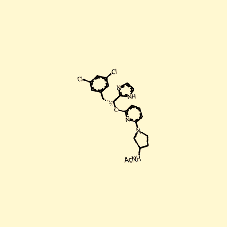 CC(=O)NC1CCN(c2cccc(O[C@H](Cc3cc(Cl)cc(Cl)c3)c3ncc[nH]3)n2)C1